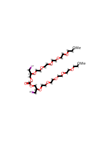 COCCOCCOCCOCCOCCOC(CI)COC(=O)OCC(CI)OCCOCCOCCOCCOCCOC